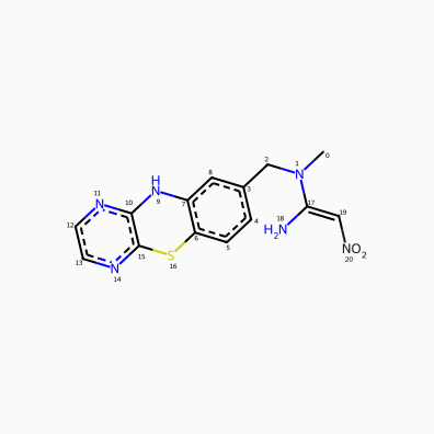 CN(Cc1ccc2c(c1)Nc1nccnc1S2)C(N)=C[N+](=O)[O-]